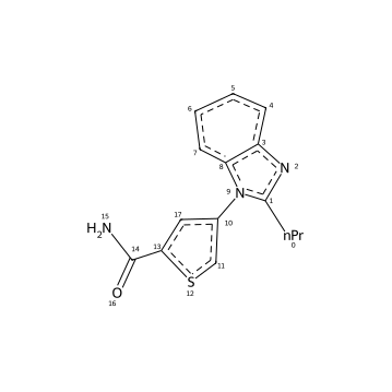 CCCc1nc2ccccc2n1-c1csc(C(N)=O)c1